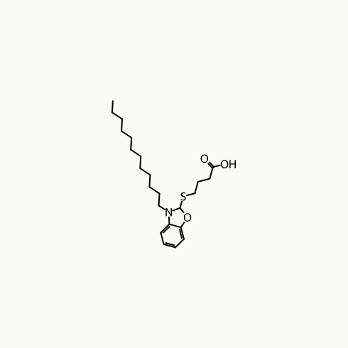 CCCCCCCCCCCCN1c2ccccc2OC1SCCCC(=O)O